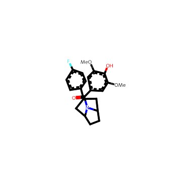 COc1cc(C(=O)N2C3CCC2CC(c2ccc(F)cc2)C3)cc(OC)c1O